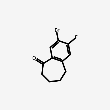 O=C1CCCCc2cc(F)c(Br)cc21